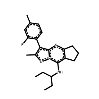 CCC(CC)Nc1c2c(nc3c(-c4ccc(C)cc4F)c(C)nn13)CCC2